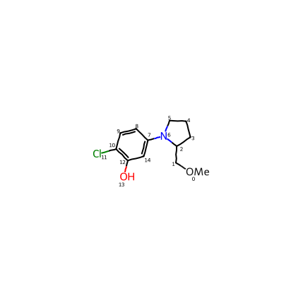 COCC1CCCN1c1ccc(Cl)c(O)c1